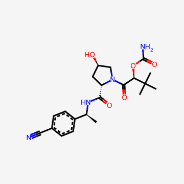 C[C@H](NC(=O)[C@@H]1C[C@@H](O)CN1C(=O)[C@@H](OC(N)=O)C(C)(C)C)c1ccc(C#N)cc1